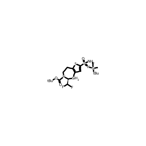 CC(C)(C)OC(=O)N1CCc2sc(S(N)(=O)=N[Si](C)(C)C(C)(C)C)cc2[SiH2][C@H]1C(F)F